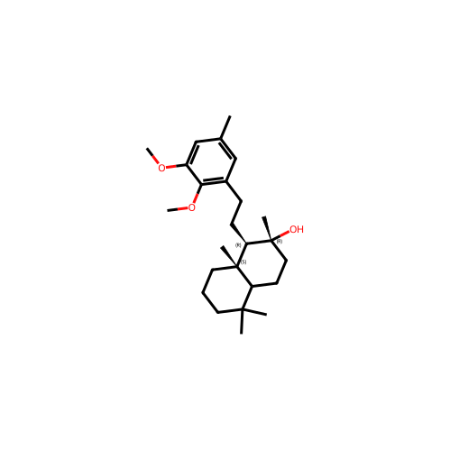 COc1cc(C)cc(CC[C@@H]2[C@@]3(C)CCCC(C)(C)C3CC[C@@]2(C)O)c1OC